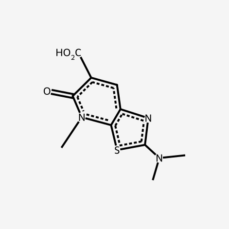 CN(C)c1nc2cc(C(=O)O)c(=O)n(C)c2s1